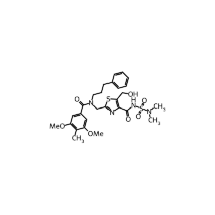 COc1cc(C(=O)N(CCCc2ccccc2)Cc2nc(C(=O)NS(=O)(=O)N(C)C)c(CO)s2)cc(OC)c1C